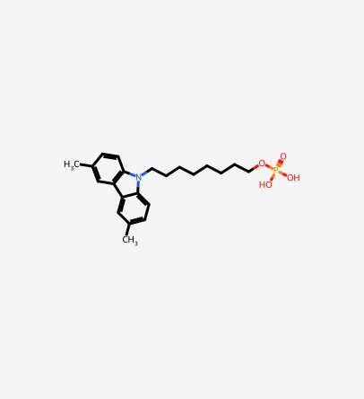 Cc1ccc2c(c1)c1cc(C)ccc1n2CCCCCCCCOP(=O)(O)O